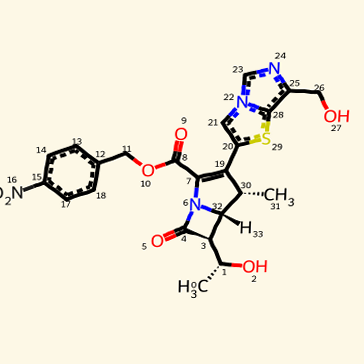 C[C@@H](O)[C@H]1C(=O)N2C(C(=O)OCc3ccc([N+](=O)[O-])cc3)=C(c3cn4cnc(CO)c4s3)[C@H](C)[C@H]12